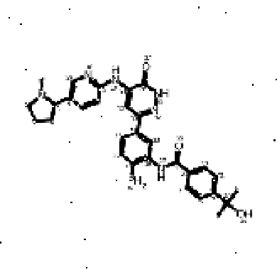 CN1CCCC1c1ccc(Nc2cc(-c3ccc(P)c(NC(=O)c4ccc(C(C)(C)O)cc4)c3)n[nH]c2=O)nc1